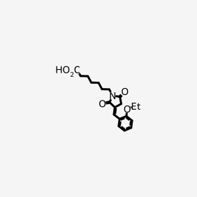 CCOc1ccccc1/C=C1\CC(=O)N(CCCCCCC(=O)O)C1=O